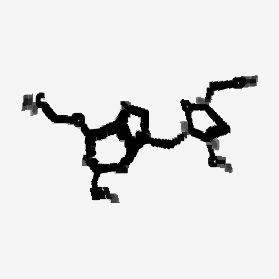 CCOc1nc(N)nc2c1ncn2C[C@@H]1O[C@H](CO)C[C@@H]1C